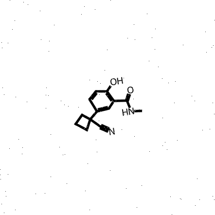 CNC(=O)c1cc(C2(C#N)CCC2)ccc1O